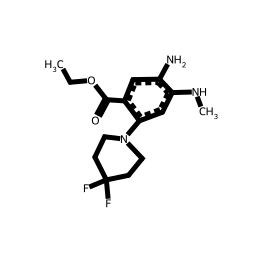 CCOC(=O)c1cc(N)c(NC)cc1N1CCC(F)(F)CC1